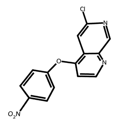 O=[N+]([O-])c1ccc(Oc2ccnc3cnc(Cl)cc23)cc1